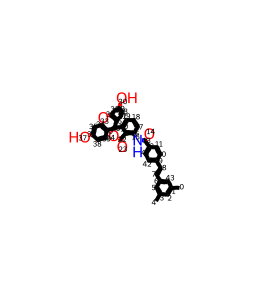 Cc1cc(C)cc(C=Cc2ccc(C(=O)Nc3cccc4c3C(=O)OC43c4ccc(O)cc4Oc4cc(O)ccc43)cc2)c1